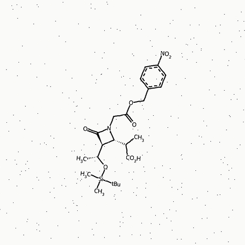 CC(C(=O)O)[C@@H]1[C@@H]([C@@H](C)O[Si](C)(C)C(C)(C)C)C(=O)N1CC(=O)OCc1ccc([N+](=O)[O-])cc1